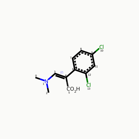 CN(C)/C=C(\C(=O)O)c1ccc(Cl)cc1Cl